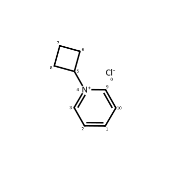 [Cl-].c1cc[n+](C2CCC2)cc1